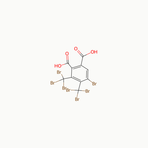 O=C(O)c1cc(Br)c(C(Br)(Br)Br)c(C(Br)(Br)Br)c1C(=O)O